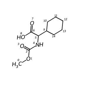 COC(=O)NC(C(=O)O)C1CCCCC1